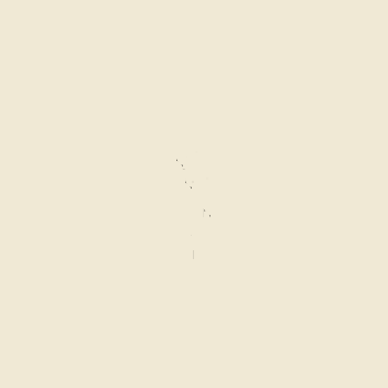 FC1(F)CN(Cc2ccc(Cl)nn2)C1